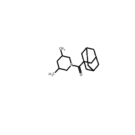 CC1CC(C)CN(C(=O)C23CC4CC(CC(C4)C2)C3)C1